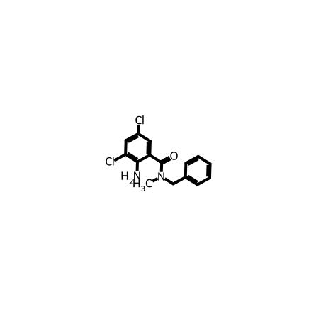 CN(Cc1ccccc1)C(=O)c1cc(Cl)cc(Cl)c1N